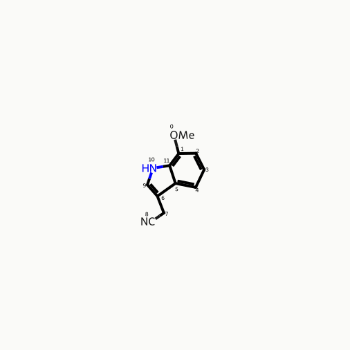 COc1cccc2c(CC#N)c[nH]c12